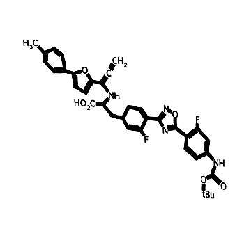 C=C=C(NC(CC1C=C(F)C(c2noc(-c3ccc(NC(=O)OC(C)(C)C)cc3F)n2)=CC1)C(=O)O)c1ccc(-c2ccc(C)cc2)o1